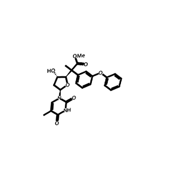 COC(=O)C(C)(c1cccc(Oc2ccccc2)c1)[C@H]1O[C@@H](n2cc(C)c(=O)[nH]c2=O)C[C@@H]1O